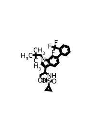 CC(C)(C)Cn1cc(C(CO)NS(=O)(=O)C2CC2)c2ccc(-c3ccccc3C(F)(F)F)cc21